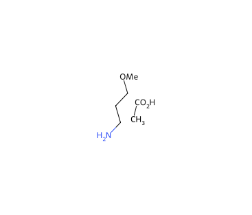 CC(=O)O.COCCCN